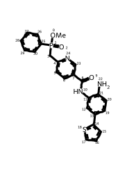 COP(=O)(Cc1ccc(C(=O)Nc2cc(-c3cccs3)ccc2N)cn1)c1ccccc1